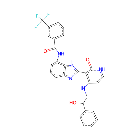 O=C(Nc1cccc2nc(-c3c(NCC(O)c4ccccc4)cc[nH]c3=O)[nH]c12)c1cccc(C(F)(F)F)c1